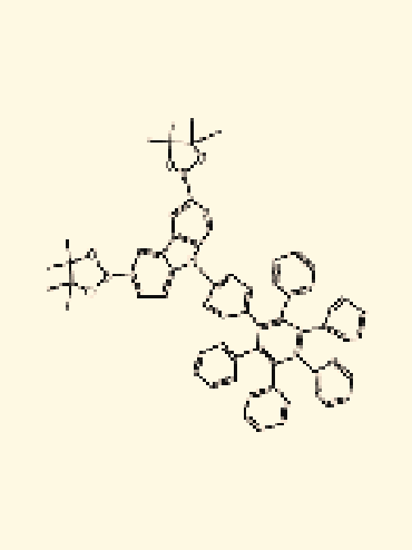 CC1(C)OB(c2ccc3c(c2)c2cc(B4OC(C)(C)C(C)(C)O4)ccc2n3-c2ccc(-c3c(-c4ccccc4)c(-c4ccccc4)c(-c4ccccc4)c(-c4ccccc4)c3-c3ccccc3)cc2)OC1(C)C